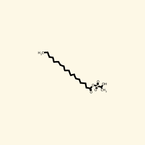 CCCCCCCCCCCCCCCCCC(=O)OS(=O)(=O)C(C)O